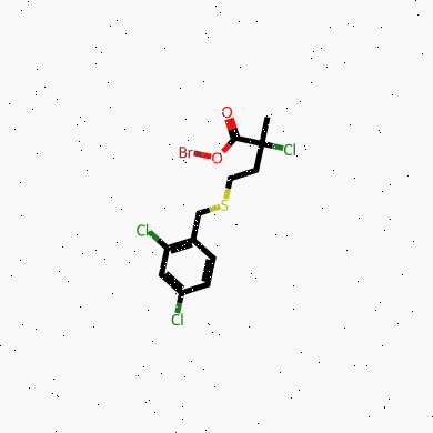 CC(Cl)(CCSCc1ccc(Cl)cc1Cl)C(=O)OBr